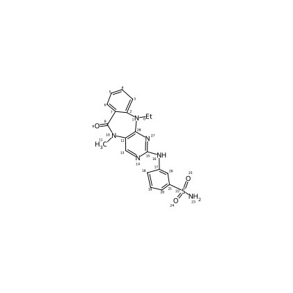 CCN1c2ccccc2C(=O)N(C)c2cnc(Nc3cccc(S(N)(=O)=O)c3)nc21